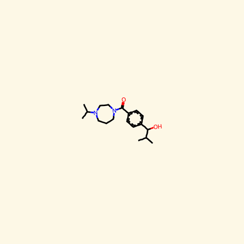 CC(C)C(O)c1ccc(C(=O)N2CCCN(C(C)C)CC2)cc1